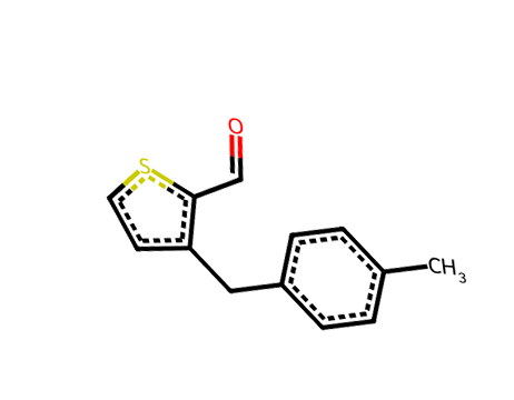 Cc1ccc(Cc2ccsc2C=O)cc1